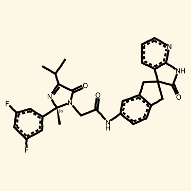 CC(C)C1=N[C@@](C)(c2cc(F)cc(F)c2)N(CC(=O)Nc2ccc3c(c2)CC2(C3)C(=O)Nc3ncccc32)C1=O